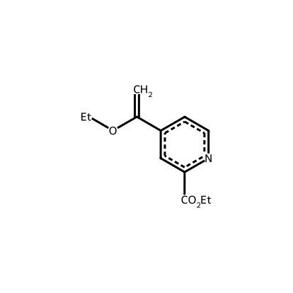 C=C(OCC)c1ccnc(C(=O)OCC)c1